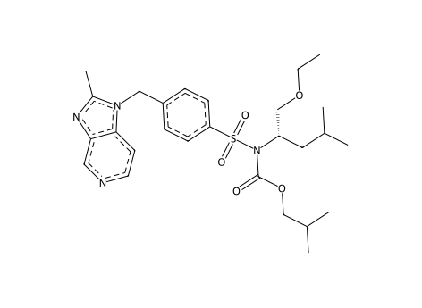 CCOC[C@H](CC(C)C)N(C(=O)OCC(C)C)S(=O)(=O)c1ccc(Cn2c(C)nc3cnccc32)cc1